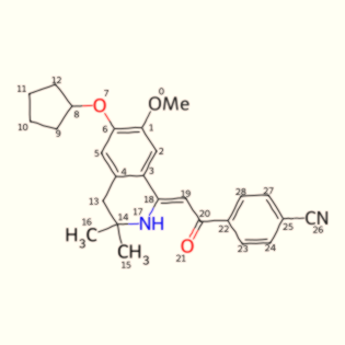 COc1cc2c(cc1OC1CCCC1)CC(C)(C)N/C2=C\C(=O)c1ccc(C#N)cc1